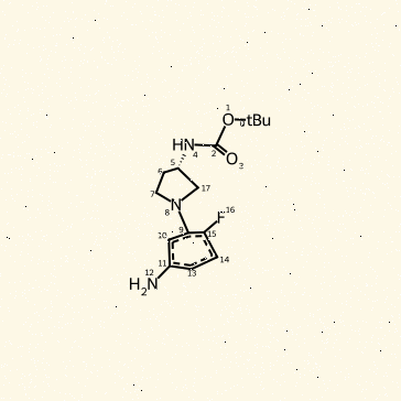 CC(C)(C)OC(=O)N[C@H]1CCN(c2cc(N)ccc2F)C1